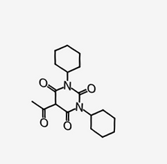 CC(=O)C1C(=O)N(C2CCCCC2)C(=O)N(C2CCCCC2)C1=O